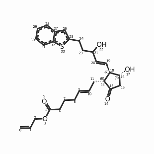 C=CCOC(=O)CCCC=CC[C@H]1C(=O)C[C@@H](O)[C@@H]1C=CC(O)CCc1cc2ccccc2s1